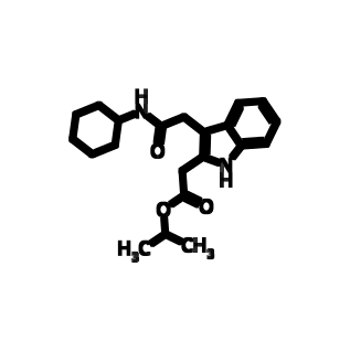 CC(C)OC(=O)Cc1[nH]c2ccccc2c1CC(=O)NC1CCCCC1